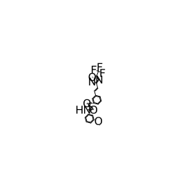 COc1cccc(NS(=O)(=O)c2cccc(C=Cc3noc(C(F)(F)F)n3)c2)c1